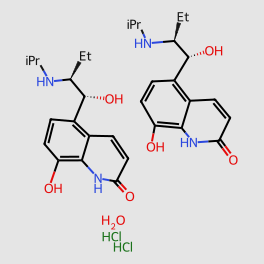 CC[C@H](NC(C)C)[C@H](O)c1ccc(O)c2[nH]c(=O)ccc12.CC[C@H](NC(C)C)[C@H](O)c1ccc(O)c2[nH]c(=O)ccc12.Cl.Cl.O